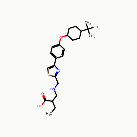 CCC(CNCc1nc(-c2ccc(OC3CCC(C(C)(C)C)CC3)cc2)cs1)C(=O)O